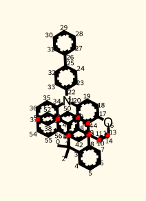 CC1(C)c2ccccc2C2(c3ccccc3Oc3ccc(N(c4ccc(-c5ccccc5)cc4)c4ccccc4-c4ccccc4)cc32)c2ccc3ccccc3c21